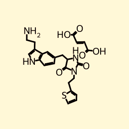 NCCc1c[nH]c2ccc(CC3NC(=O)N(CCc4cccs4)C3=O)cc12.O=C(O)C=CC(=O)O